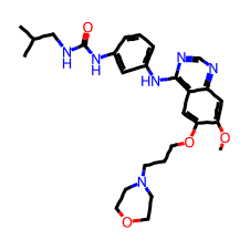 COc1cc2ncnc(Nc3cccc(NC(=O)NCC(C)C)c3)c2cc1OCCCN1CCOCC1